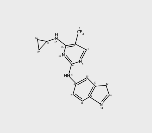 FC(F)(F)c1cnc(Nc2ccc3c(c2)CC=N3)nc1NC1CC1